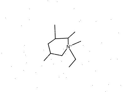 CC[N+]1(C)CC(C)CC(C)C1C